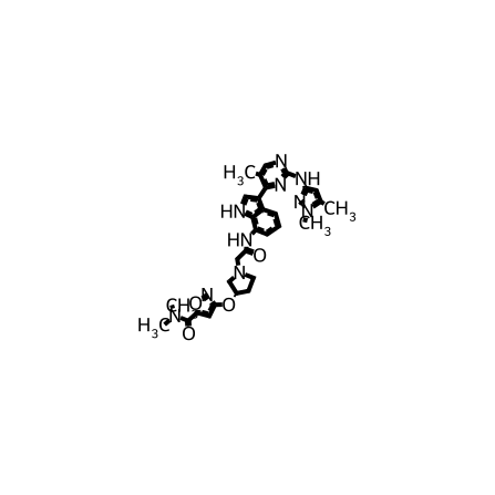 Cc1cnc(Nc2cc(C)n(C)n2)nc1-c1c[nH]c2c(NC(=O)CN3CC[C@H](Oc4cc(C(=O)N(C)C)on4)C3)cccc12